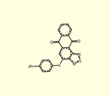 CC(C)c1ccc(Sc2cc3c(c4nsnc24)C(=O)c2ccccc2C3=O)cc1